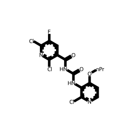 CCCOc1ccnc(Cl)c1NC(=O)NC(=O)c1cc(F)c(Cl)nc1Cl